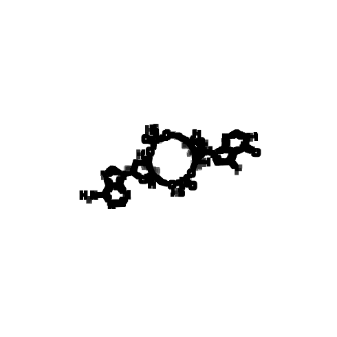 Nc1ncnc2c1ncn2[C@H]1C[C@@H]2OP(=O)(S)OC[C@H]3O[C@@H](n4cc(F)c5c(=O)[nH]cnc54)[C@H](OP(=O)(S)OC[C@H]2O1)[C@@H]3O